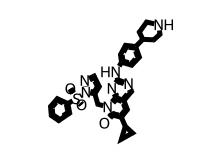 O=c1c(C2CC2)cc2cnc(Nc3ccc(C4CCNCC4)cc3)nc2n1Cc1ccnn1S(=O)(=O)c1ccccc1